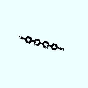 N#Cc1ccc(-c2ccc(-c3ccc(-c4ccc(C#N)cc4)nc3)cn2)cc1